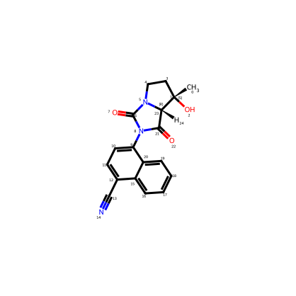 C[C@]1(O)CCN2C(=O)N(c3ccc(C#N)c4ccccc34)C(=O)[C@H]21